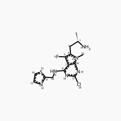 C[C@H](N)Cc1c(F)c2c(NCc3nccs3)nc(Cl)nc2n1C